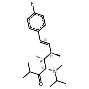 CC(C)C(=O)[C@H]([C@H](C)[C@H](C)/C=C/c1ccc(F)cc1)N(C)C(C)C